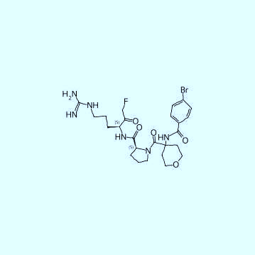 N=C(N)NCCC[C@H](NC(=O)[C@@H]1CCCN1C(=O)C1(NC(=O)c2ccc(Br)cc2)CCOCC1)C(=O)CF